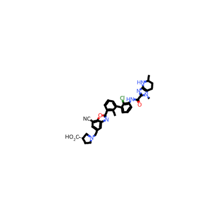 Cc1c(-c2nc3cc(CN4CC[C@H](C(=O)O)C4)cc(C#N)c3o2)cccc1-c1cccc(NC(=O)c2nc3c(n2C)CCC(C)N3)c1Cl